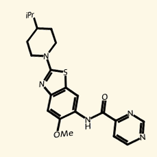 COc1cc2nc(N3CCC(C(C)C)CC3)sc2cc1NC(=O)c1ccncn1